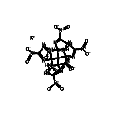 O=[N+]([O-])C1=NC([N+](=O)[O-])([B-](C2([N+](=O)[O-])N=C([N+](=O)[O-])NN2)(C2([N+](=O)[O-])N=C([N+](=O)[O-])NN2)C2([N+](=O)[O-])N=C([N+](=O)[O-])NN2)NN1.[K+]